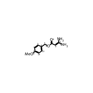 COc1ccc(COC(=O)C=C(N)N)cc1